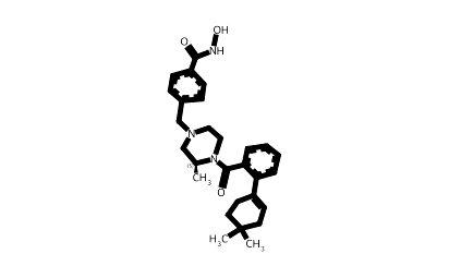 C[C@H]1CN(Cc2ccc(C(=O)NO)cc2)CCN1C(=O)c1ccccc1C1=CCC(C)(C)CC1